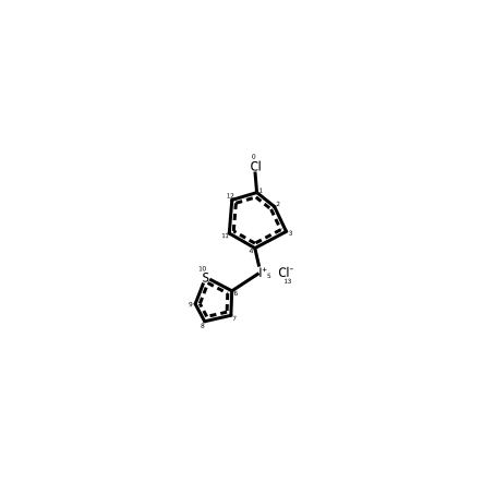 Clc1ccc([I+]c2cccs2)cc1.[Cl-]